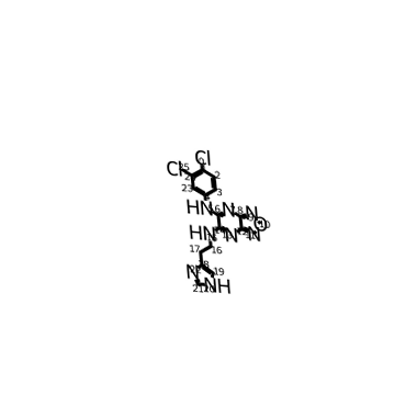 Clc1ccc(Nc2nc3nonc3nc2NCCc2c[nH]cn2)cc1Cl